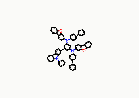 c1ccc(-c2ccc(N(c3cc(-c4ccc5c6ccccc6n(-c6ccccc6)c5c4)cc(N(c4ccc(-c5ccccc5)cc4)c4ccc5c(c4)oc4ccccc45)c3)c3ccc4c(c3)oc3ccccc34)cc2)cc1